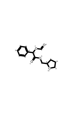 O=[C]OC(C(=O)OCC1CCCO1)c1ccccc1